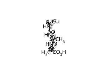 Cc1nc(NC(=O)CCNC(=O)OC(C)(C)C)sc1C(=O)Nc1cc(C(=O)O)n(C)c1